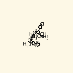 Cn1nc(-c2ncccn2)cc1C(=O)N1C[C@@H]2[C@H](C1)[C@@H]2Oc1cc(C(C)(C)N)cc(-c2ccc(Cl)cc2)n1